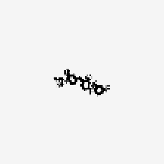 COc1cc(/C=C2\CCCN([C@@H](C)c3cc(F)ccc3F)C2=O)ccc1-n1cnc(C)c1